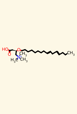 CCCC=CCC=CCCCCCCCCO[C@H](CC(=O)O)C[N+](C)(C)C